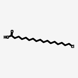 O=C(O)CCCCCCCCCCCCCCCCCl